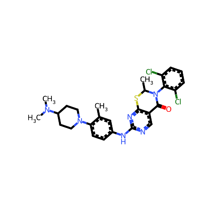 Cc1cc(Nc2ncc3c(n2)SC(C)N(c2c(Cl)cccc2Cl)C3=O)ccc1N1CCC(N(C)C)CC1